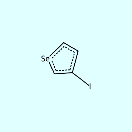 Ic1cc[se]c1